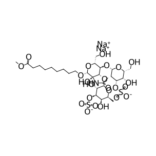 COC(=O)CCCCCCCCO[C@@H]1O[C@H](CO)[C@@H](O[C@H]2C[C@@H](OS(=O)(=O)[O-])[C@@H](O)[C@@H](CO)O2)[C@H](O[C@@H]2O[C@@H](C)[C@@H](O)[C@@H](OS(=O)(=O)[O-])[C@@H]2O)[C@]1(O)NC(C)=O.[Na+].[Na+]